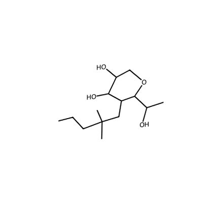 CCCC(C)(C)CC1C(O)C(O)COC1C(C)O